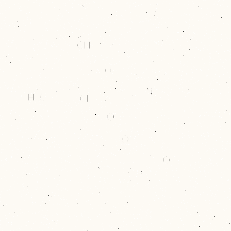 CCC(C)(C)OC(=O)N1CCCCC1C(=O)OCc1ccccc1